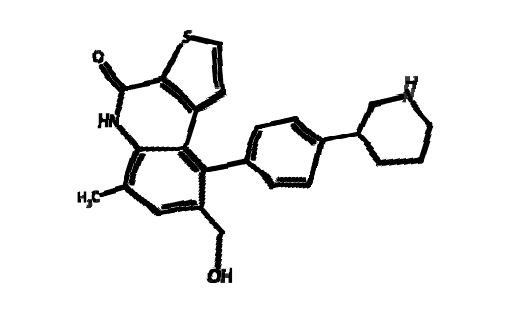 Cc1cc(CO)c(-c2ccc(C3CCCNC3)cc2)c2c1[nH]c(=O)c1sccc12